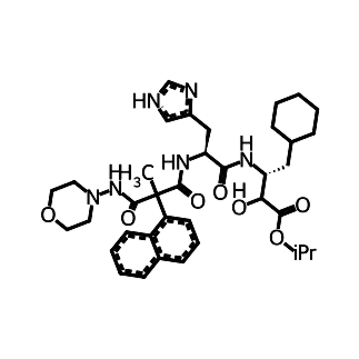 CC(C)OC(=O)C(O)[C@@H](CC1CCCCC1)NC(=O)[C@H](Cc1c[nH]cn1)NC(=O)C(C)(C(=O)NN1CCOCC1)c1cccc2ccccc12